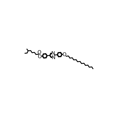 CCCCCCCCCCCCCCCOc1ccc(-c2ncc(-c3ccc(OC(=O)CCCCC(C)CC)cc3)cn2)cc1